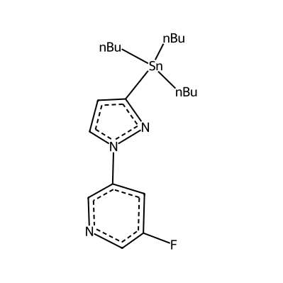 CCC[CH2][Sn]([CH2]CCC)([CH2]CCC)[c]1ccn(-c2cncc(F)c2)n1